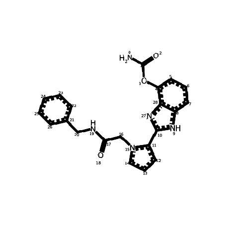 NC(=O)Oc1cccc2[nH]c(-c3cccn3CC(=O)NCc3ccccc3)nc12